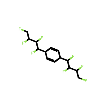 FCC(F)C(F)C(F)C1C=CC(C(F)C(F)C(F)CF)C=C1